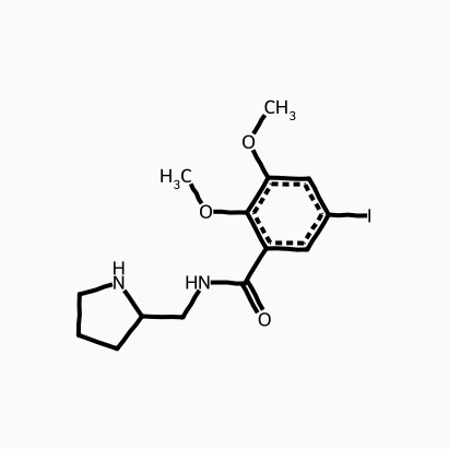 COc1cc(I)cc(C(=O)NCC2CCCN2)c1OC